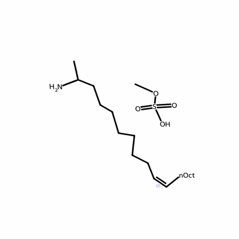 CCCCCCCC/C=C\CCCCCCCC(C)N.COS(=O)(=O)O